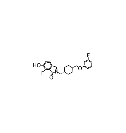 O=C1c2c(ccc(O)c2F)CN1C[C@H]1CC[C@H](COc2cccc(F)c2)CC1